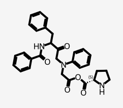 O=C(CN(CC(=O)C(Cc1ccccc1)NC(=O)c1ccccc1)c1ccccc1)OC(=O)[C@@H]1CCCN1